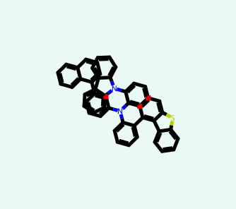 c1cc(-c2cccc3ccccc23)cc(N(c2ccccc2-c2cccc3sc4ccccc4c23)c2ccccc2-n2c3ccccc3c3ccccc32)c1